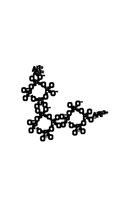 O=P1([O-])OP(=O)([O-])OP(=O)([O-])OP(=O)([O-])O1.O=P1([O-])OP(=O)([O-])OP(=O)([O-])OP(=O)([O-])O1.O=P1([O-])OP(=O)([O-])OP(=O)([O-])OP(=O)([O-])O1.[Al+3].[Al+3].[Al+3].[Al+3]